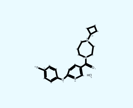 Cl.O=C(c1ccc(Oc2ccc(F)cc2)nc1)N1CCCN(C2CCC2)CC1